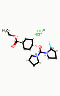 CCOC(=O)[C@H]1CC[C@H](OC(N2CCCC2)N2CCCC2F)CC1.Cl.Cl